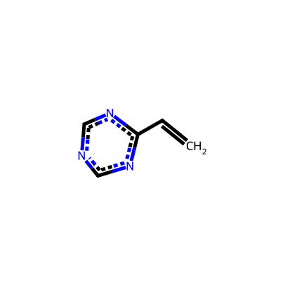 C=Cc1ncncn1